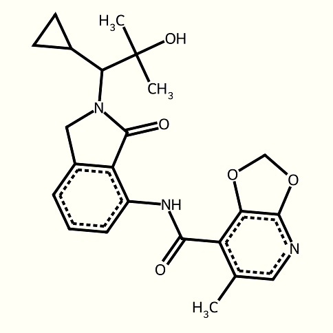 Cc1cnc2c(c1C(=O)Nc1cccc3c1C(=O)N(C(C1CC1)C(C)(C)O)C3)OCO2